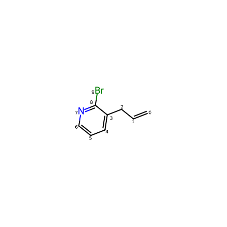 C=CCc1cccnc1Br